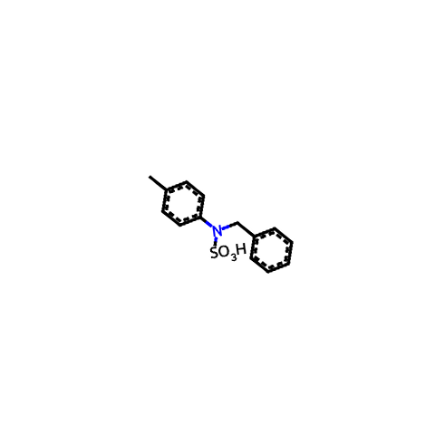 Cc1ccc(N(Cc2ccccc2)S(=O)(=O)O)cc1